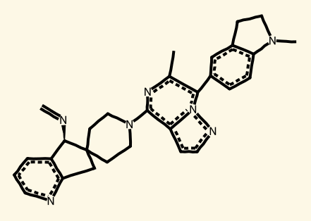 C=N[C@@H]1c2cccnc2CC12CCN(c1nc(C)c(-c3ccc4c(c3)CCN4C)n3nccc13)CC2